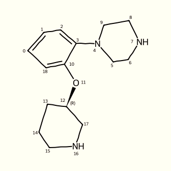 c1ccc(N2CCNCC2)c(O[C@@H]2CCCNC2)c1